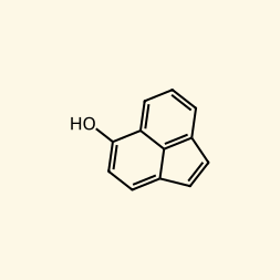 Oc1ccc2c3c(cccc13)C=C2